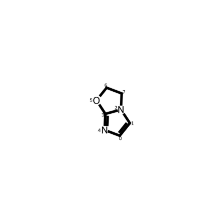 c1cn2c(n1)OCC2